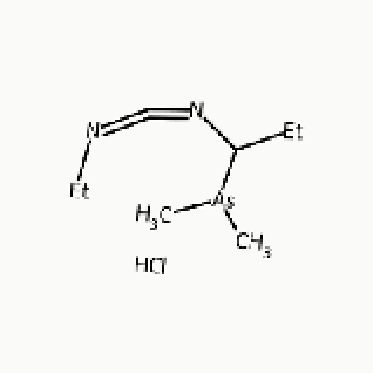 CCN=C=NC(CC)[As](C)C.Cl